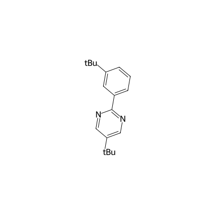 CC(C)(C)c1cnc(-c2cccc(C(C)(C)C)c2)nc1